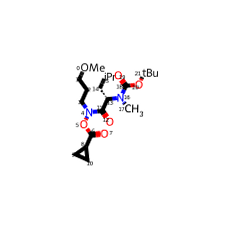 COCCCN(OC(=O)C1CC1)C(=O)[C@H](CC(C)C)N(C)C(=O)OC(C)(C)C